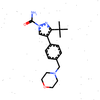 CC(C)(C)c1nn(C(N)=O)[c]c1-c1ccc(CN2CCOCC2)cc1